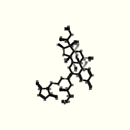 C[C@@H]1C[C@H]2[C@@H]3CC(=C(CCCN4C(=O)C=CC4=O)CC(=O)NN)C4=CC(=O)C=C[C@]4(C)[C@@]3(F)[C@@H](O)C[C@]2(C)[C@@]1(O)C(=O)CO